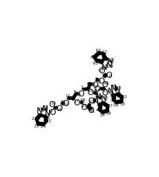 O=C(OCOCC(COCC(COCOC(=O)On1nnc2ccccc21)OCOC(=O)On1nnc2ccccc21)OCOC(=O)On1nnc2ccccc21)On1nnc2ccccc21